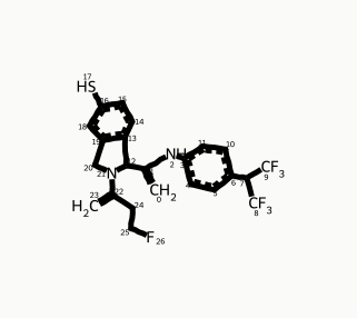 C=C(Nc1ccc(C(C(F)(F)F)C(F)(F)F)cc1)C1c2ccc(S)cc2CN1C(=C)CCF